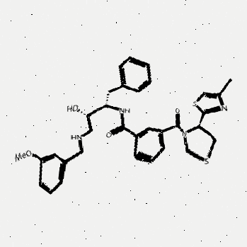 COc1cccc(CNC[C@H](O)[C@H](Cc2ccccc2)NC(=O)c2cccc(C(=O)N3CSC[C@@H]3c3nc(C)cs3)c2)c1